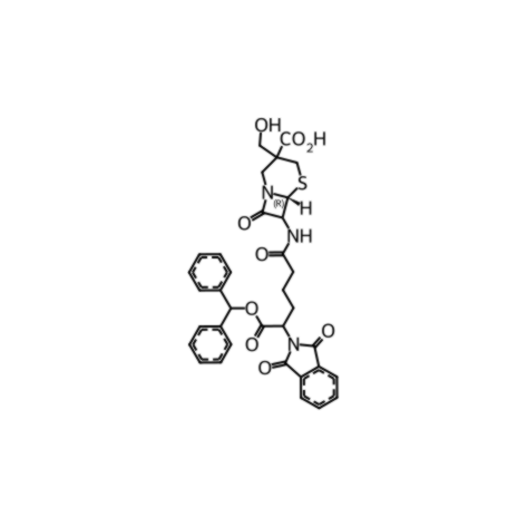 O=C(CCCC(C(=O)OC(c1ccccc1)c1ccccc1)N1C(=O)c2ccccc2C1=O)NC1C(=O)N2CC(CO)(C(=O)O)CS[C@H]12